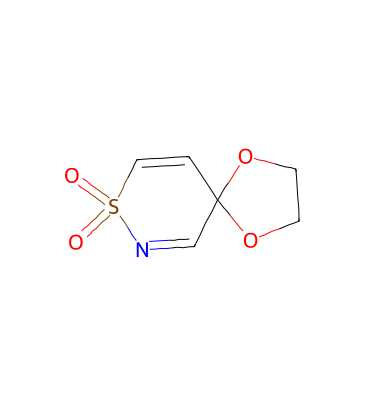 O=S1(=O)C=CC2(C=N1)OCCO2